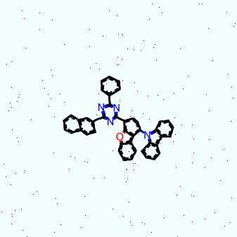 c1ccc(-c2nc(-c3ccc4ccccc4c3)nc(-c3ccc(-n4c5ccccc5c5ccccc54)c4c3oc3ccccc34)n2)cc1